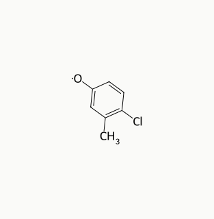 Cc1cc([O])ccc1Cl